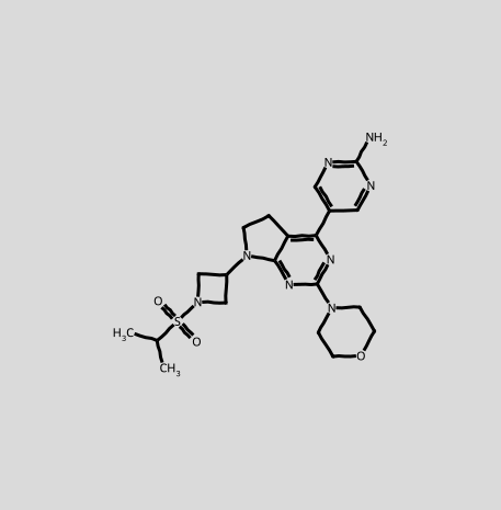 CC(C)S(=O)(=O)N1CC(N2CCc3c(-c4cnc(N)nc4)nc(N4CCOCC4)nc32)C1